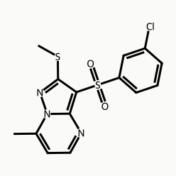 CSc1nn2c(C)ccnc2c1S(=O)(=O)c1cccc(Cl)c1